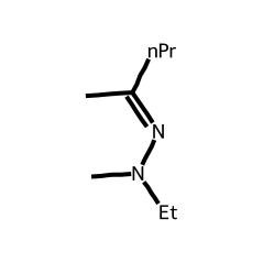 CCCC(C)=NN(C)CC